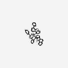 c1ccc(-c2nc(-c3ccccc3-c3cccc4c3sc3c5ccccc5ccc43)nc(-c3cccc4oc5c(-c6ccccc6)cccc5c34)n2)cc1